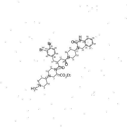 CCOC(=O)C1CN(C2CCN(C)CC2)CCN1C(=O)C(CC(=O)N1CCC(N2Cc3ccccc3NC2=O)CC1)Cc1ccc(Br)c(Br)c1